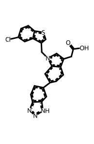 O=C(O)Cc1cn(Cc2csc3ccc(Cl)cc23)c2cc(-c3ccc4nn[nH]c4c3)ccc12